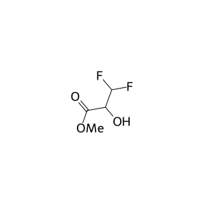 COC(=O)C(O)C(F)F